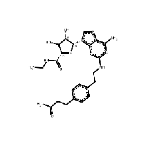 CCNC(=O)[C@H]1O[C@@H](n2cnc3c(N)nc(NCCc4ccc(CCC(C)=O)cc4)nc32)[C@@H](O)C1O